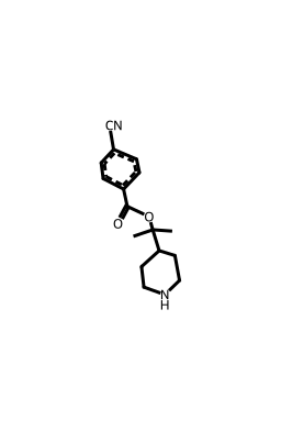 CC(C)(OC(=O)c1ccc(C#N)cc1)C1CCNCC1